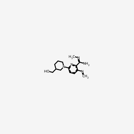 C=Nc1ccc(N2CCCC(CO)C2)nc1/C(N)=N\C